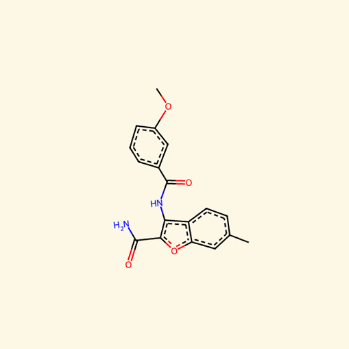 COc1cccc(C(=O)Nc2c(C(N)=O)oc3cc(C)ccc23)c1